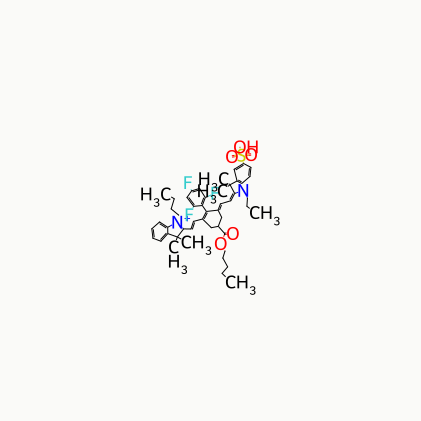 CCCCCOC(=O)C1CC(/C=C/C2=[N+](CCCC)c3ccccc3C2(C)C)=C(c2c(F)cc(F)cc2F)C(=C/C=C2/N(CCC)c3ccc(S(=O)(=O)O)cc3C2(C)C)/C1